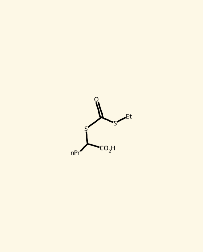 CCCC(SC(=O)SCC)C(=O)O